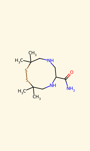 CC1(C)CNCC(C(N)=O)NCC(C)(C)SS1